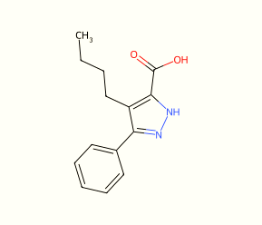 CCCCc1c(-c2ccccc2)n[nH]c1C(=O)O